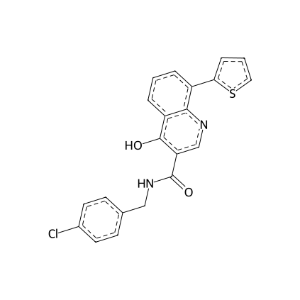 O=C(NCc1ccc(Cl)cc1)c1cnc2c(-c3cccs3)cccc2c1O